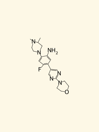 CC1CN(c2cc(F)c(-c3cnc(N4CCOCC4)nc3)cc2N)CCN1C